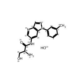 Cc1cccc(-n2ncc3ncc(NC(=O)[C@@H](N)CO)cc32)c1.Cl